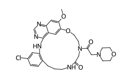 COc1cc2ncnc3c2cc1OCCN(C(=O)CN1CCOCC1)CC(=O)NCCCc1ccc(Cl)cc1N3